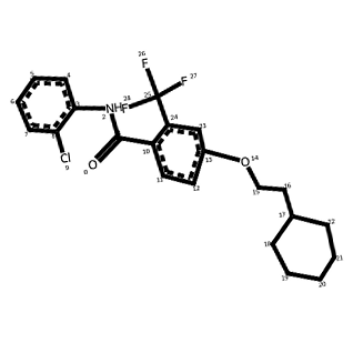 O=C(Nc1c[c]ccc1Cl)c1ccc(OCCC2CCCCC2)cc1C(F)(F)F